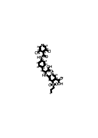 CCCS(=O)(=O)c1cc(NC(Cc2ccc(NC(=O)c3c(Cl)cncc3Cl)cc2)C(=O)O)ncc1C(=O)O